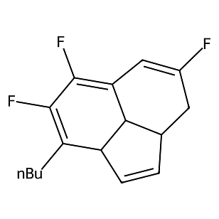 CCCCC1=C(F)C(F)=C2C=C(F)CC3C=CC1C23